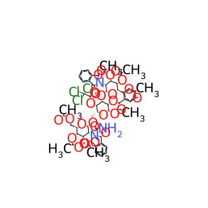 CCO[C@@H]1O[C@H](CO[C@@H]2O[C@H](COC(C)=O)[C@@H](OC(C)=O)[C@H](OC(C)=O)[C@H]2[N+]2(C(N)=O)C(=O)c3ccccc3C2=O)[C@H](OC(=O)C(Cl)(Cl)Cl)[C@H](O[C@@H]2O[C@H](COC(C)=O)[C@@H](OC(C)=O)[C@H](OC(C)=O)[C@H]2N2C(=O)c3ccccc3C2=O)[C@H]1OC(=O)c1ccccc1